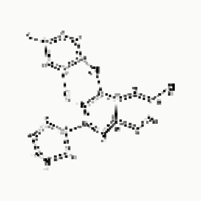 Cc1ccc(Nc2nc(-c3cccnc3)nc3ccc(Cl)cc23)c(Cl)c1